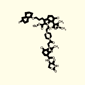 Cc1nn(C)c(C)c1-c1c(Cl)ccc2c(CCCOc3cccc4cc(F)ccc34)c(C(=O)OC(C)(C)C)n(CCN3CCN(C(=O)Cn4c(C)nc5c(C(=O)NC6CCC(=O)NC6=O)ccc(Cl)c54)CC3)c12